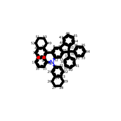 Cc1ccc2c(c1-c1cc3c(cc1N(c1ccccc1)c1ccc4c(c1)CCCC4)C(c1ccccc1)(c1ccccc1)c1ccccc1-3)CCCC2